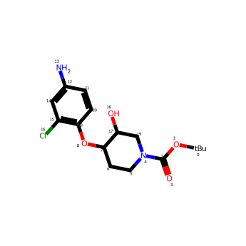 CC(C)(C)OC(=O)N1CCC(Oc2ccc(N)cc2Cl)C(O)C1